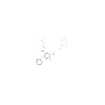 CN1CCN(CCON=Cc2cc(C(=O)NOCCO)c(Nc3ccc(I)cc3F)c(F)c2F)CC1